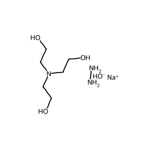 NN.OCCN(CCO)CCO.[Na+].[OH-]